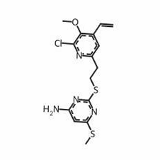 C=Cc1cc(CCSc2nc(N)cc(SC)n2)nc(Cl)c1OC